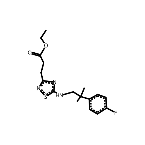 CCOC(=O)CCc1nsc(NCC(C)(C)c2ccc(F)cc2)n1